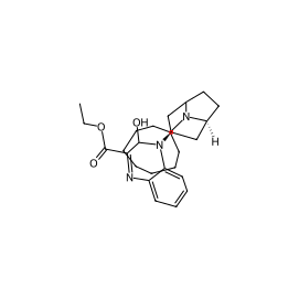 CCOC(=O)C1=Nc2ccccc2N([C@H]2CC3CC[C@@H](C2)N3C2CCCCCCC2)C1O